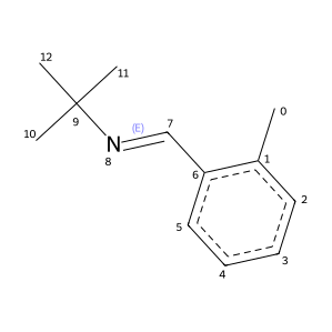 Cc1ccccc1/C=N/C(C)(C)C